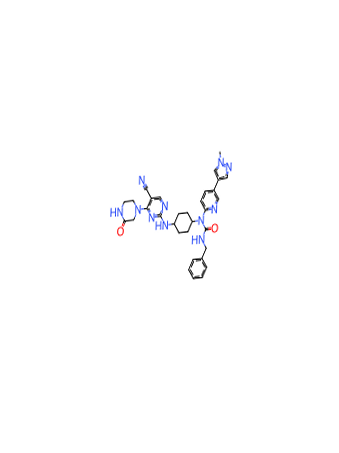 Cn1cc(-c2ccc(N(C(=O)NCc3ccccc3)C3CCC(Nc4ncc(C#N)c(N5CCNC(=O)C5)n4)CC3)nc2)cn1